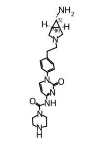 NC[C@@H]1[C@H]2CN(CCc3ccc(-n4ccc(NC(=O)N5CCNCC5)nc4=O)cc3)C[C@@H]12